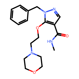 CNC(=O)c1cnn(Cc2ccccc2)c1OCCN1CCOCC1